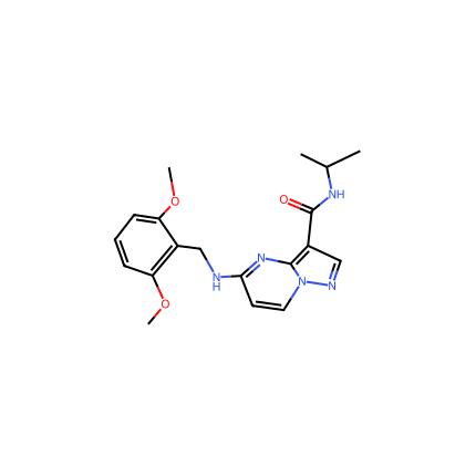 COc1cccc(OC)c1CNc1ccn2ncc(C(=O)NC(C)C)c2n1